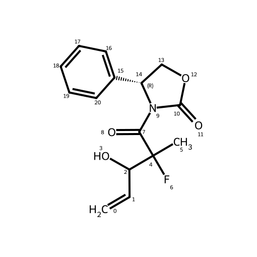 C=CC(O)C(C)(F)C(=O)N1C(=O)OC[C@H]1c1ccccc1